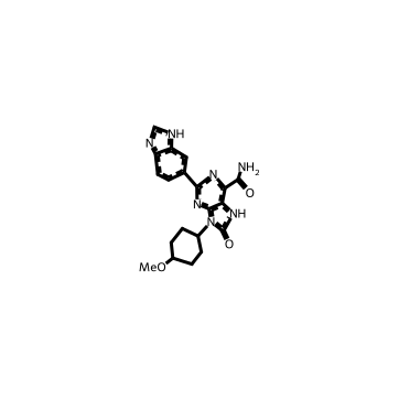 COC1CCC(n2c(=O)[nH]c3c(C(N)=O)nc(-c4ccc5nc[nH]c5c4)nc32)CC1